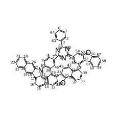 c1ccc(-c2nc(-c3ccc(-n4c5ccccc5c5cc6ccccc6cc54)c(-c4cccc5oc6c7ccccc7ccc6c45)c3)nc(-c3ccc4c(c3)oc3ccccc34)n2)cc1